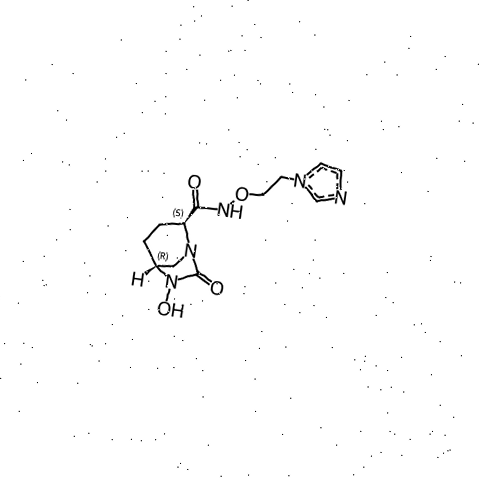 O=C(NOCCn1ccnc1)[C@@H]1CC[C@@H]2CN1C(=O)N2O